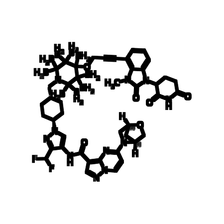 BC1(B)N(C[C@H]2CC[C@H](n3cc(NC(=O)c4cnn5ccc(N6C[C@H]7C[C@@H]6CO7)nc45)c(C(F)F)n3)CC2)C(B)(B)C(B)(B)C(B)(OCC#Cc2cccc3c2n(C)c(=O)n3C2CCC(=O)NC2=O)C1(B)B